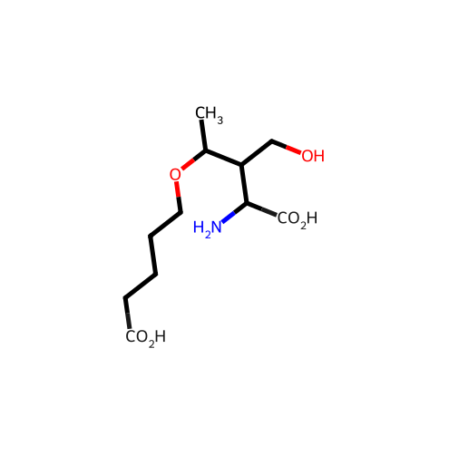 CC(OCCCCC(=O)O)C(CO)C(N)C(=O)O